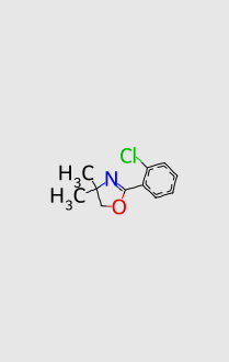 CC1(C)COC(c2ccccc2Cl)=N1